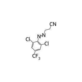 N#CCCN=Nc1c(Cl)cc(C(F)(F)F)cc1Cl